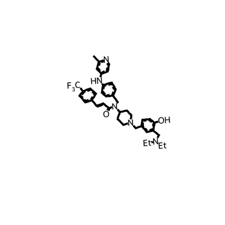 CCN(CC)Cc1cc(CN2CCC(N(Cc3ccc(Nc4ccnc(C)c4)cc3)C(=O)C=Cc3ccc(C(F)(F)F)cc3)CC2)ccc1O